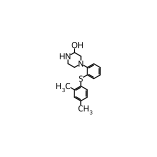 Cc1ccc(Sc2ccccc2N2CCNC(O)C2)c(C)c1